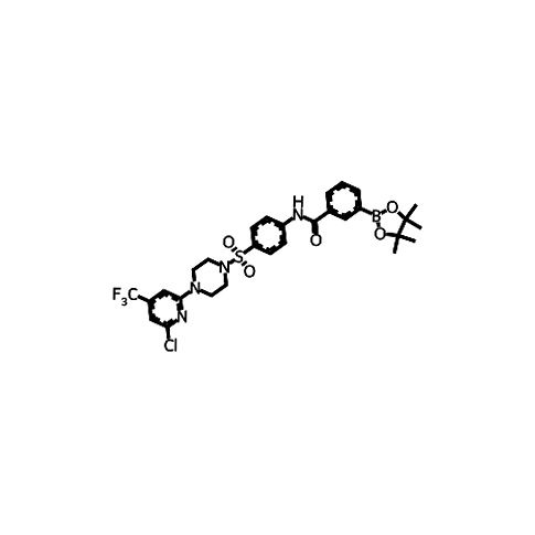 CC1(C)OB(c2cccc(C(=O)Nc3ccc(S(=O)(=O)N4CCN(c5cc(C(F)(F)F)cc(Cl)n5)CC4)cc3)c2)OC1(C)C